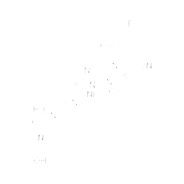 CN(c1nc(-c2ccc(F)cc2)c(C#N)s1)c1c(CCO)nc2n1NC(N1CCC(N(C)CC(=O)N3CC(O)C3)C1)S2